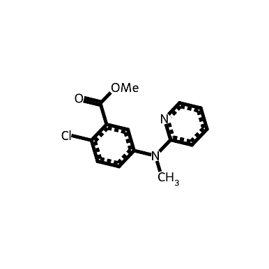 COC(=O)c1cc(N(C)c2ccccn2)ccc1Cl